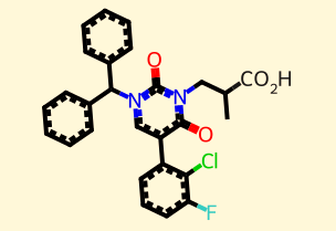 CC(Cn1c(=O)c(-c2cccc(F)c2Cl)cn(C(c2ccccc2)c2ccccc2)c1=O)C(=O)O